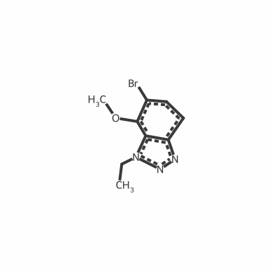 CCn1nnc2ccc(Br)c(OC)c21